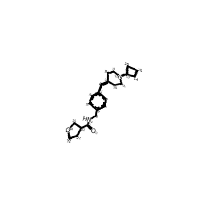 O=C(NCc1ccc(C=C2CCN(C3CCC3)CC2)cc1)C1CCOC1